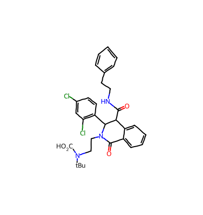 CC(C)(C)N(CCN1C(=O)c2ccccc2C(C(=O)NCCc2ccccc2)C1c1ccc(Cl)cc1Cl)C(=O)O